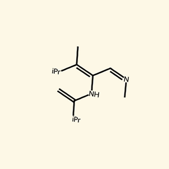 C=C(NC(/C=N\C)=C(/C)C(C)C)C(C)C